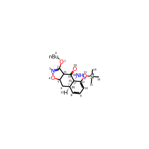 CCCCOC1=NOC2C[C@@H]3C=CC=C(O[Si](C)(C)C)[C@]3(N)C(=O)C12